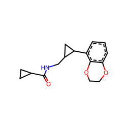 O=C(NCC1CC1c1cccc2c1OCCO2)C1CC1